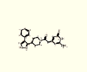 Nc1nc(CC(=O)N2CCC(c3nocc3-c3ccccc3)CC2)cc(=O)[nH]1